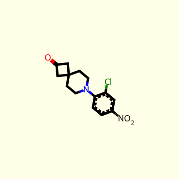 O=C1CC2(CCN(c3ccc([N+](=O)[O-])cc3Cl)CC2)C1